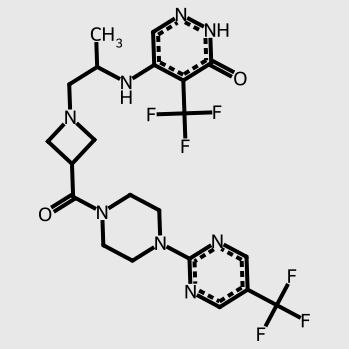 CC(CN1CC(C(=O)N2CCN(c3ncc(C(F)(F)F)cn3)CC2)C1)Nc1cn[nH]c(=O)c1C(F)(F)F